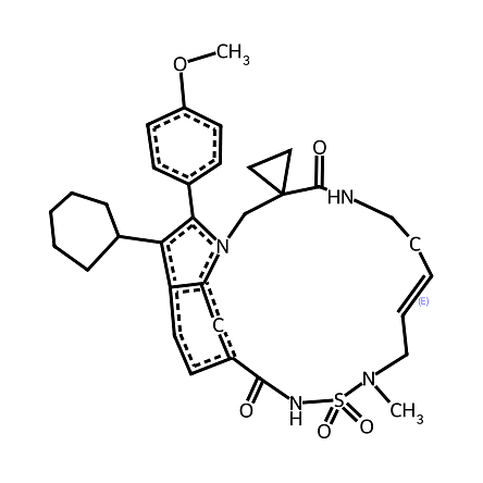 COc1ccc(-c2c(C3CCCCC3)c3ccc4cc3n2CC2(CC2)C(=O)NCC/C=C/CN(C)S(=O)(=O)NC4=O)cc1